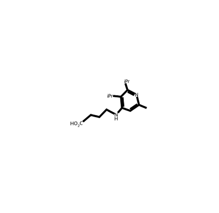 Cc1cc(NCCCC(=O)O)c(C(C)C)c(C(C)C)n1